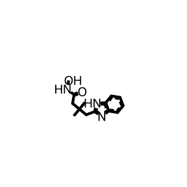 CC(C)(CC(=O)NO)Cc1nc2ccccc2[nH]1